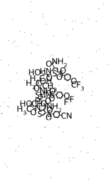 CC(C)(O)C(=O)Nc1scc(S(=O)(=O)c2ccc(C#N)cc2)c1C(N)=O.CC(C)(O)C(=O)Nc1sccc1C(=O)NS(=O)(=O)c1ccc(OC(F)F)cc1.C[C@H](CO)C(=O)Nc1sc(S(=O)(=O)c2ccc(OC(F)(F)F)cc2)cc1C(N)=O